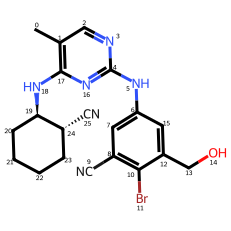 Cc1cnc(Nc2cc(C#N)c(Br)c(CO)c2)nc1N[C@@H]1CCCC[C@H]1C#N